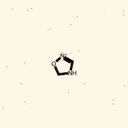 C1=[N+]OCN1